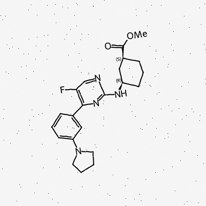 COC(=O)[C@H]1CCC[C@@H](Nc2ncc(F)c(-c3cccc(N4CCCC4)c3)n2)C1